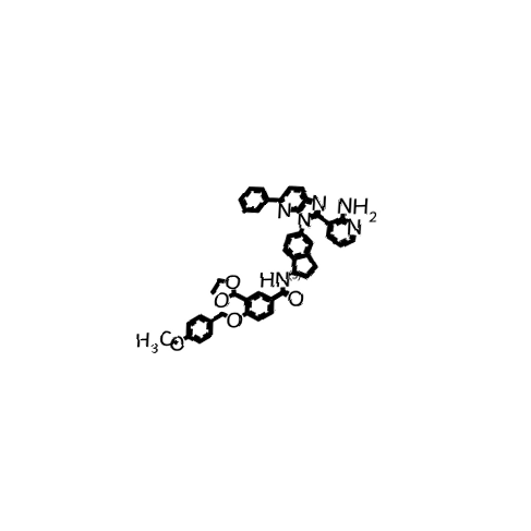 COc1ccc(COc2ccc(C(=O)N[C@H]3CCc4cc(-n5c(-c6cccnc6N)nc6ccc(-c7ccccc7)nc65)ccc43)cc2C2OCCO2)cc1